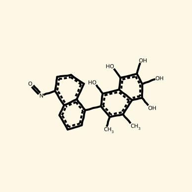 Cc1c(-c2cccc3c(N=O)cccc23)c(O)c2c(O)c(O)c(O)c(O)c2c1C